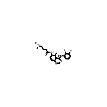 Cc1c(NC(=O)/C=C/CN(C)C(C)C)ccc2ncnc(Nc3cccc(Cl)c3F)c12